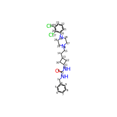 O=C(NCc1ccccc1)NC1CC(CCN2CCN(c3cccc(Cl)c3Cl)CC2)C1